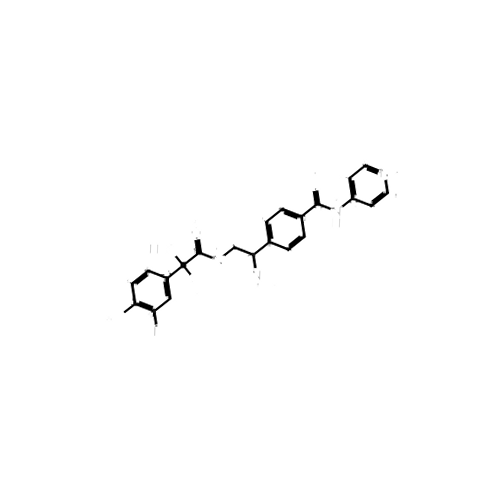 CC(C)(C(=O)NCC(N)c1ccc(C(=O)Nc2ccncc2)cc1)c1ccc(F)c(F)c1